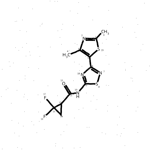 Cc1nc(C)c(-c2nsc(NC(=O)C3CC3(F)F)n2)s1